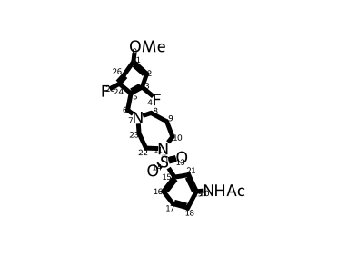 COc1cc(F)c(CN2CCCN(S(=O)(=O)c3cccc(NC(C)=O)c3)CC2)c(F)c1